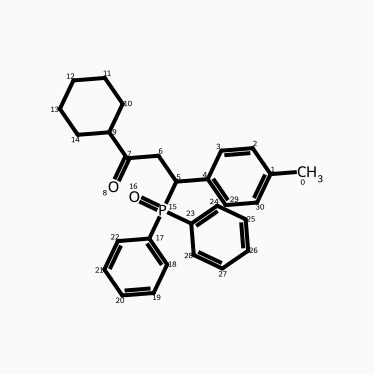 Cc1ccc(C(CC(=O)C2CCCCC2)P(=O)(c2ccccc2)c2ccccc2)cc1